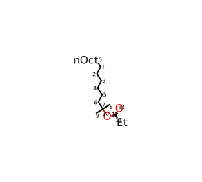 CCCCCCCCCCCCCCC(C)(C)OC(=O)CC